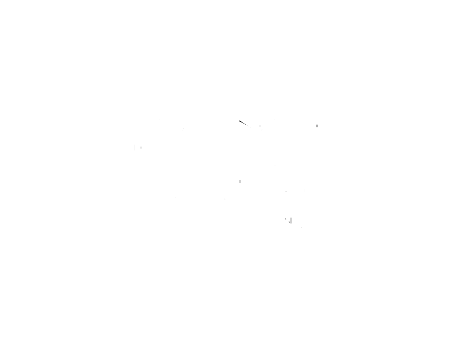 Cc1ccc(O)c2c1C[C@@H](C[C@@H](CCO)C(CO)C(=O)CC(N)=O)CC2=O